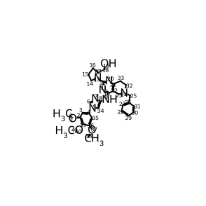 COc1cc(-n2cnc(Nc3nc(N4CCC[C@H]4CO)nc4c3CN(Cc3ccccc3)CC4)c2)cc(OC)c1OC